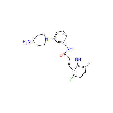 Cc1ccc(F)c2cc(C(=O)Nc3cccc(N4CCC(N)CC4)c3)[nH]c12